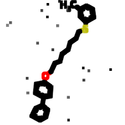 Cc1cccc(SCCCCCCCCOc2ccc(-c3ccccc3)cc2)c1